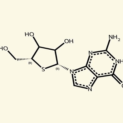 Nc1nc2c(ncn2[C@@H]2S[C@H](CO)C(O)C2O)c(=O)[nH]1